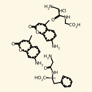 Cc1cc(=O)oc2cc(N)ccc12.Cc1cc(=O)oc2cc(N)ccc12.Cl.NCC(=O)NCC(=O)O.NCC(=O)N[C@@H](Cc1ccccc1)C(=O)O